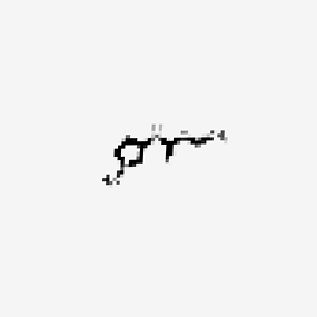 CCOC(=O)NC1CCN(C)C1